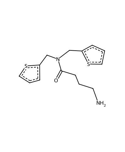 NCCCC(=O)N(Cc1cccs1)Cc1cccs1